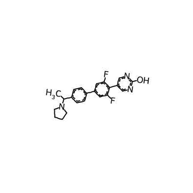 CC(c1ccc(-c2cc(F)c(-c3cnc(O)nc3)c(F)c2)cc1)N1CCCC1